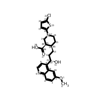 COc1ccc2nccc([C@@H](O)CC[C@@H]3CCN(c4ccc(Cl)s4)C[C@@H]3C(=O)O)c2c1